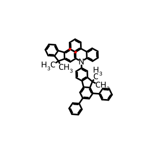 CC1(C)c2ccccc2-c2ccc(N(c3ccc4c(c3)C(C)(C)c3c(-c5ccccc5)cc(-c5ccccc5)cc3-4)c3ccccc3-c3ccccc3)cc21